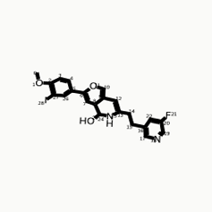 COc1ccc(C2=CC3C(=CO2)C=C(CCc2cncc(F)c2)NC3O)cc1I